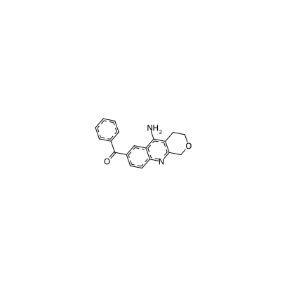 Nc1c2c(nc3ccc(C(=O)c4ccccc4)cc13)COCC2